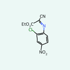 CCOC(=O)/C(C#N)=N\c1ccc([N+](=O)[O-])cc1Cl